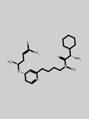 C/C(F)=C\C[C@H](C)O[C@@H]1C=C(CCCCN(C)C(=O)[C@@H](N)C2CCCCC2)N=CC1